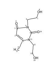 Cc1cc(=O)n(CCO)c(=O)n1CCO